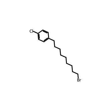 Clc1ccc(CCCCCCCCCBr)cc1